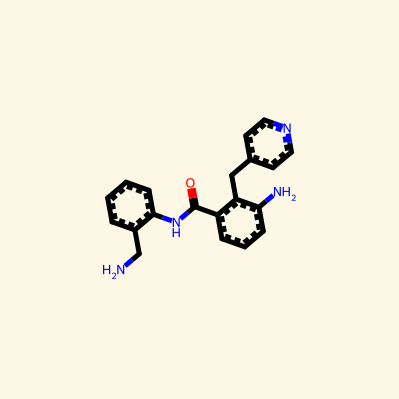 NCc1ccccc1NC(=O)c1cccc(N)c1Cc1ccncc1